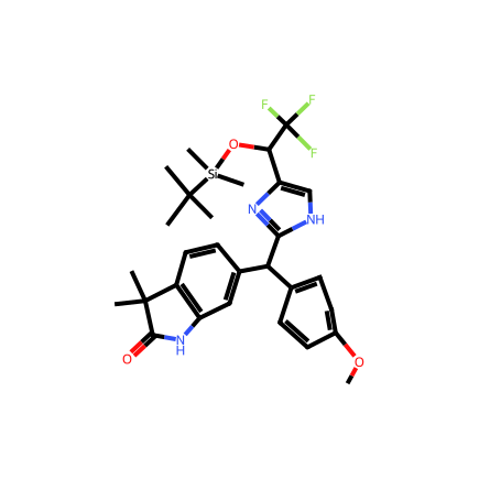 COc1ccc(C(c2ccc3c(c2)NC(=O)C3(C)C)c2nc(C(O[Si](C)(C)C(C)(C)C)C(F)(F)F)c[nH]2)cc1